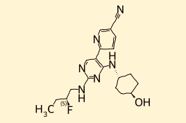 CC[C@H](F)CNc1ncc(-c2ccc(C#N)cn2)c(N[C@H]2CC[C@H](O)CC2)n1